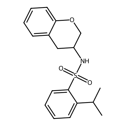 CC(C)c1ccccc1S(=O)(=O)NC1COc2ccccc2C1